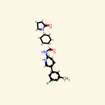 Cc1cc(F)cc(-c2ccc(NC(=O)[C@H]3CC[C@@H](N4CCCC4=O)CC3)nc2)c1